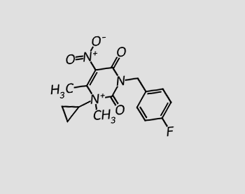 CC1=C([N+](=O)[O-])C(=O)N(Cc2ccc(F)cc2)C(=O)[N+]1(C)C1CC1